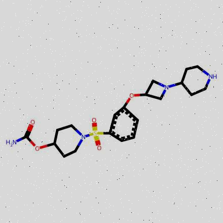 NC(=O)OC1CCN(S(=O)(=O)c2cccc(OC3CN(C4CCNCC4)C3)c2)CC1